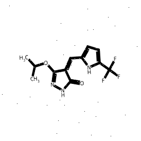 CC(C)OC1=NNC(=O)C1=Cc1ccc(C(F)(F)F)[nH]1